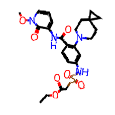 CCOC(=O)CS(=O)(=O)Nc1ccc(C(=O)Nc2cccn(OC)c2=O)c(N2CCC3(CC2)CC3)c1